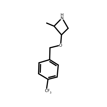 CC1NCC1OCc1ccc(C(F)(F)F)cc1